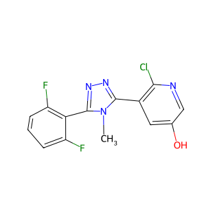 Cn1c(-c2cc(O)cnc2Cl)nnc1-c1c(F)cccc1F